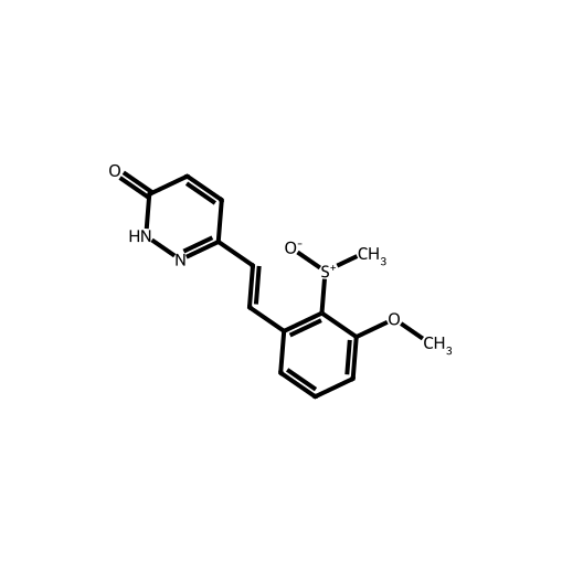 COc1cccc(C=Cc2ccc(=O)[nH]n2)c1[S+](C)[O-]